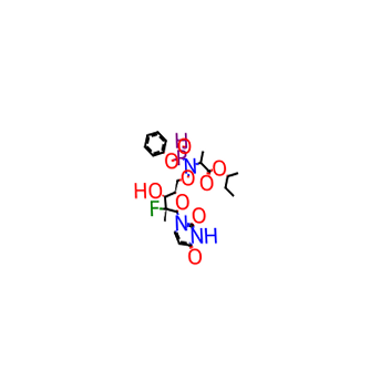 CCC(C)OC(=O)C(C)N(OC[C@H]1O[C@@H](n2ccc(=O)[nH]c2=O)[C@](C)(F)[C@@H]1O)[PH](=O)Oc1ccccc1